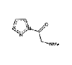 CNCC(=O)n1cccn1